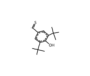 CC(C)(C)c1cc([C]=S)cc(C(C)(C)C)c1O